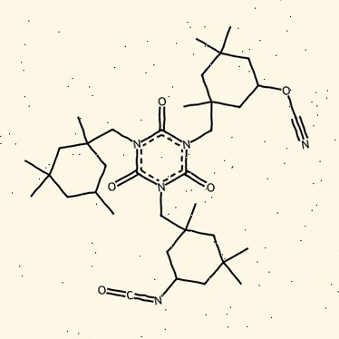 CC1CC(C)(C)CC(C)(Cn2c(=O)n(CC3(C)CC(N=C=O)CC(C)(C)C3)c(=O)n(CC3(C)CC(OC#N)CC(C)(C)C3)c2=O)C1